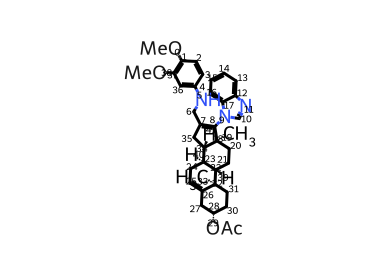 COc1ccc(NCC2=C(n3cnc4ccccc43)[C@@]3(C)CC[C@H]4[C@@H](CC=C5C[C@@H](OC(C)=O)CC[C@@]54C)[C@@H]3C2)cc1OC